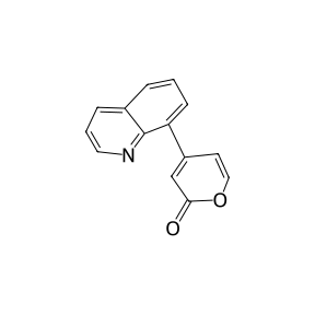 O=c1cc(-c2cccc3cccnc23)cco1